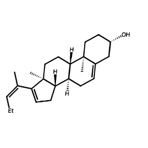 CC/C=C(/C)C1=CC[C@H]2[C@@H]3CC=C4C[C@@H](O)CC[C@]4(C)[C@H]3CC[C@]12C